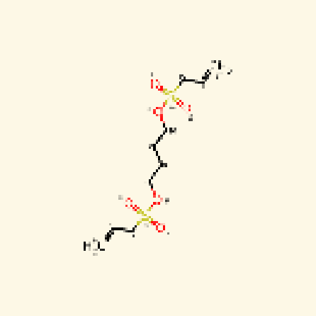 C=CCS(=O)(=O)OCCCCOS(=O)(=O)CC=C